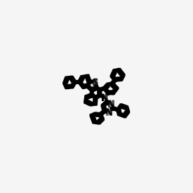 c1ccc(-c2ccc3sc4c(c3c2)c2ccccc2c2c4c3cc(-c4ccccc4)ccc3n2-c2cc(-c3ccccc3)nc(-c3ccccc3)n2)cc1